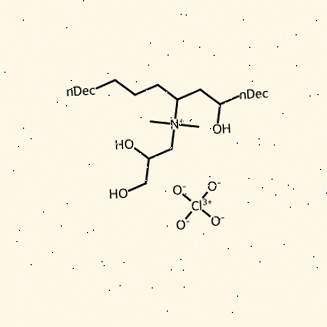 CCCCCCCCCCCCCC(CC(O)CCCCCCCCCC)[N+](C)(C)CC(O)CO.[O-][Cl+3]([O-])([O-])[O-]